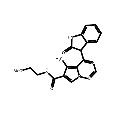 COCCNC(=O)c1cn2ncnc(C3C(=O)Nc4ccccc43)c2c1C